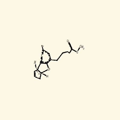 COC(=O)CCCc1cc(Br)cc2c1O[C@@H]1CC=C[C@H]21